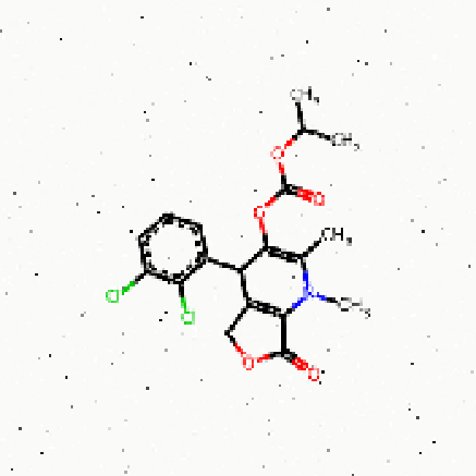 CC1=C(OC(=O)OC(C)C)C(c2cccc(Cl)c2Cl)C2=C(C(=O)OC2)N1C